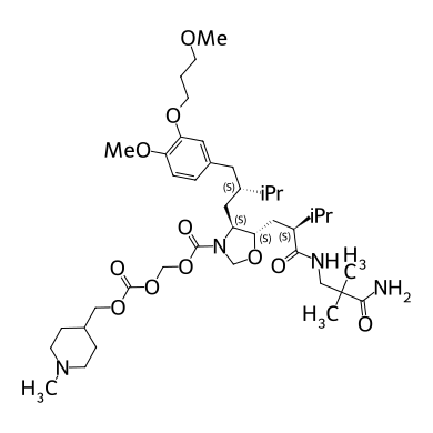 COCCCOc1cc(C[C@@H](C[C@H]2[C@H](C[C@H](C(=O)NCC(C)(C)C(N)=O)C(C)C)OCN2C(=O)OCOC(=O)OCC2CCN(C)CC2)C(C)C)ccc1OC